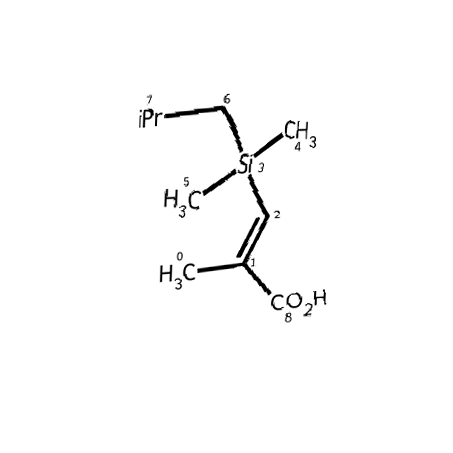 CC(=C[Si](C)(C)CC(C)C)C(=O)O